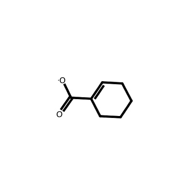 [O]C(=O)C1=CCCCC1